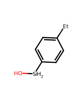 CCc1ccc([SiH2]O)cc1